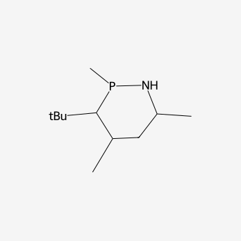 CC1CC(C)C(C(C)(C)C)P(C)N1